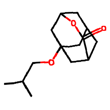 CC(C)COC12CC3CC(C1)OC(=O)C(C3)C2